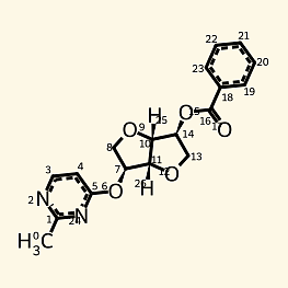 Cc1nccc(O[C@H]2CO[C@H]3[C@@H]2OC[C@@H]3OC(=O)c2ccccc2)n1